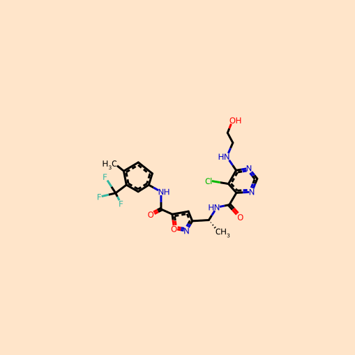 Cc1ccc(NC(=O)c2cc([C@@H](C)NC(=O)c3ncnc(NCCO)c3Cl)no2)cc1C(F)(F)F